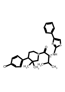 CC(C)[C@@H](Nc1nc(-c2ccccc2)cs1)C(=O)N1CCC(c2ccc(Cl)cc2)C(C)(C)C1